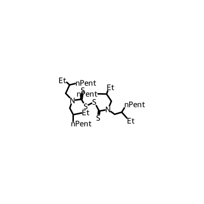 CCCCCC(CC)CN(CC(CC)CCCCC)C(=S)SSC(=S)N(CC(CC)CCCCC)CC(CC)CCCCC